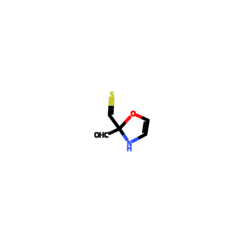 O=CC1(C=S)NC=CO1